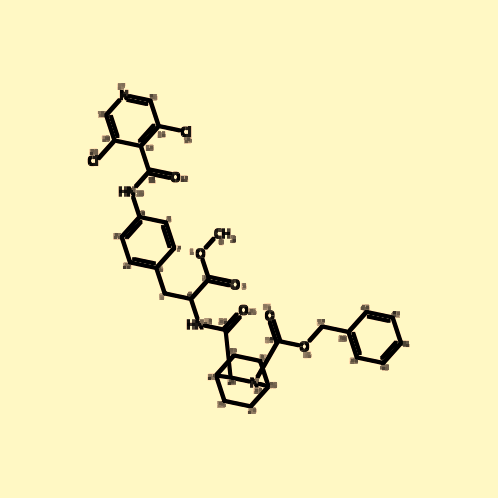 COC(=O)C(Cc1ccc(NC(=O)c2c(Cl)cncc2Cl)cc1)NC(=O)C1C2CCC(CC2)N1C(=O)OCc1ccccc1